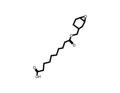 O=C(O)CCCCCCCCC(=O)OCC1CCC2OC2C1